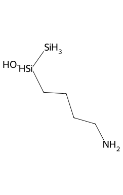 NCCCC[SiH](O)[SiH3]